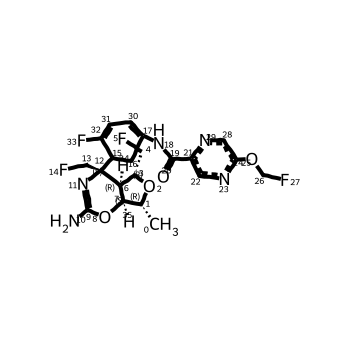 C[C@H]1O[C@@H](CF)[C@H]2[C@@H]1OC(N)=N[C@]2(CF)C1CC(NC(=O)c2cnc(OCF)cn2)=CC=C1F